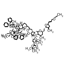 C=CCOC/C=C/C1CC(=C)[C@H](CC[C@H]2C[C@@H](C)C(=C)C(C[C@@H]3O[C@H](C[C@H]4CN(C(=O)OC(C)(C)C)C(C)(C)O4)[C@H](OC)[C@H]3CC(=O)CC3CC[C@@H]4O[C@H]5[C@@H](CC(C)(C)[Si](O)(c6ccccc6)c6ccccc6)[C@@H](CC(C=C)O[Si](CC)(CC)CC)O[C@H]5[C@@H](CC(C)(C)[Si](O)(c5ccccc5)c5ccccc5)[C@H]4O3)O2)O1